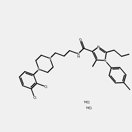 CCCc1nc(C(=O)NCCCN2CCN(c3cccc(Cl)c3Cl)CC2)c(C)n1-c1ccc(C)cc1.Cl.Cl